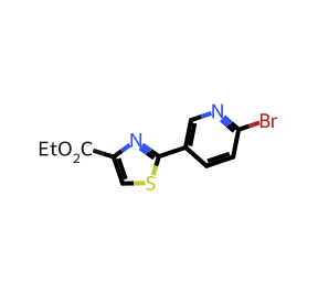 CCOC(=O)c1csc(-c2ccc(Br)nc2)n1